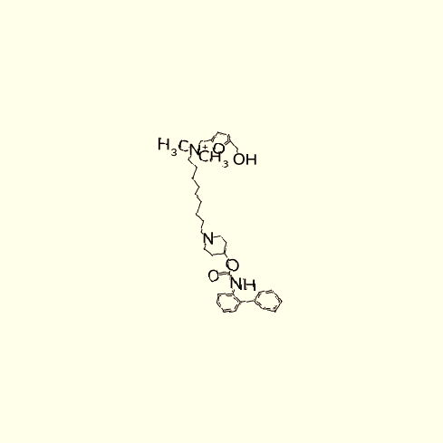 C[N+](C)(CCCCCCCCCN1CCC(OC(=O)Nc2ccccc2-c2ccccc2)CC1)Cc1ccc(CO)o1